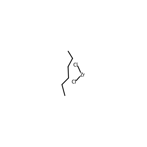 CCCCCC.[Cl][Zr][Cl]